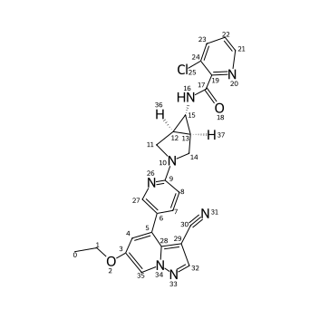 CCOc1cc(-c2ccc(N3C[C@@H]4[C@H](C3)[C@H]4NC(=O)c3ncccc3Cl)nc2)c2c(C#N)cnn2c1